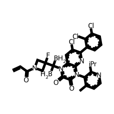 BC(B)(n1c(=O)c(=O)n(-c2c(C)ccnc2C(C)C)c2nc(-c3cccc(Cl)c3Cl)c(Cl)cc21)C1(F)CN(C(=O)C=C)C1